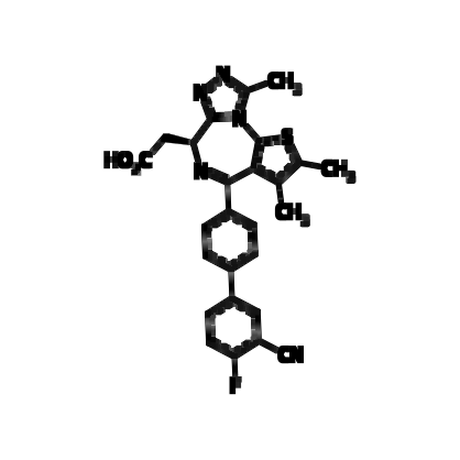 Cc1sc2c(c1C)C(c1ccc(-c3ccc(F)c(C#N)c3)cc1)=N[C@@H](CC(=O)O)c1nnc(C)n1-2